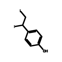 Oc1ccc(C(I)CI)cc1